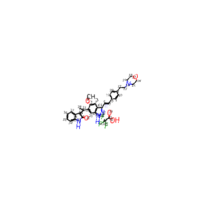 COc1cc2c(/C=C/c3ccc(CCN4CCOCC4)cc3)n[nH]c2cc1[C@@H]1C[C@@]12C(=O)Nc1ccccc12.O=C(O)C(F)(F)F